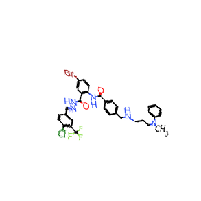 CN(CCCNCc1ccc(C(=O)Nc2ccc(Br)cc2C(=O)N/N=C/c2ccc(Cl)c(C(F)(F)F)c2)cc1)c1ccccc1